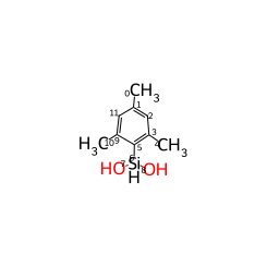 Cc1cc(C)c([SiH](O)O)c(C)c1